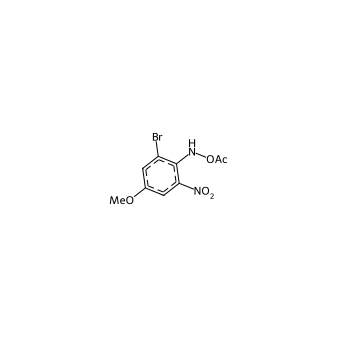 COc1cc(Br)c(NOC(C)=O)c([N+](=O)[O-])c1